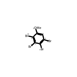 COc1cc(Br)c(Br)c(Br)c1Br